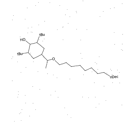 CCCCCCCCCCCCCCCCCCOC(C)C1CC(C(C)(C)C)C(O)C(C(C)(C)C)C1